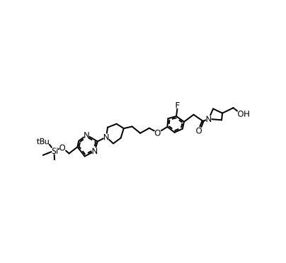 CC(C)(C)[Si](C)(C)OCc1cnc(N2CCC(CCCOc3ccc(CC(=O)N4CC(CO)C4)c(F)c3)CC2)nc1